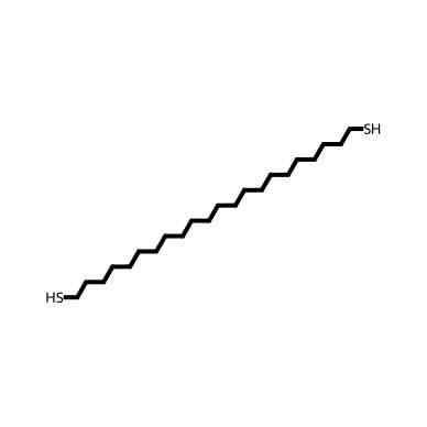 SCCCCCCCCCCCCCCCCCCCCCCS